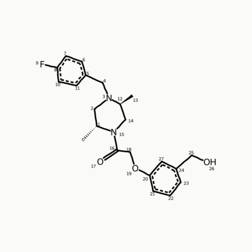 C[C@@H]1CN(Cc2ccc(F)cc2)[C@@H](C)CN1C(=O)COc1cccc(CO)c1